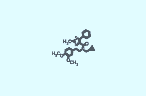 COc1ccc(CCN(CC2CC2)C(=O)c2nc(C)sc2-c2ccccc2)cc1OC